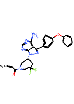 C=CC(=O)N1C[C@H](n2nc(-c3ccc(Oc4ccccc4)cc3)c3c(N)ncnc32)CC(F)(F)C1